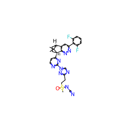 CC1(C)[C@H]2CC[C@@]1(c1ccnc(-n3cnc(CCS(C)(=O)=NC#N)n3)n1)c1nnc(-c3c(F)cccc3F)cc12